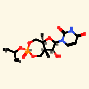 CC(C)O[P@@]1(=O)OC[C@H]2[C@@H](O)[C@H](n3ccc(=O)[nH]c3=O)O[C@@H]2CO1